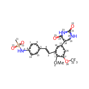 COc1c(C=Cc2ccc(NS(C)(=O)=O)cc2)cc(-c2c[nH]c(=O)[nH]c2=O)cc1OC(F)(F)F